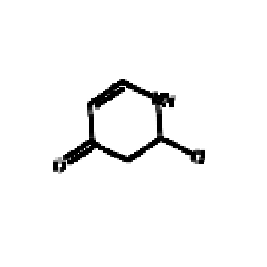 O=C1C=CNC(Cl)C1